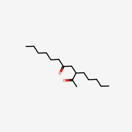 CCCCCCC(=O)CC(CCCCC)C(C)=O